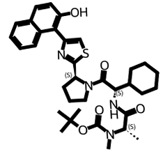 C[C@@H](C(=O)N[C@H](C(=O)N1CCC[C@H]1c1nc(-c2c(O)ccc3ccccc23)cs1)C1CCCCC1)N(C)C(=O)OC(C)(C)C